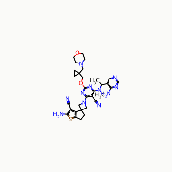 CC(c1cncnc1N)N(C)c1nc(OCC2(CN3CCOCC3)CC2)nc(N2CC3(CCc4sc(N)c(C#N)c43)C2)c1C#N